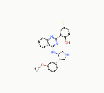 COc1cccc([C@H]2CNC[C@@H]2Nc2nc(-c3cc(F)ccc3O)nc3ccccc23)c1